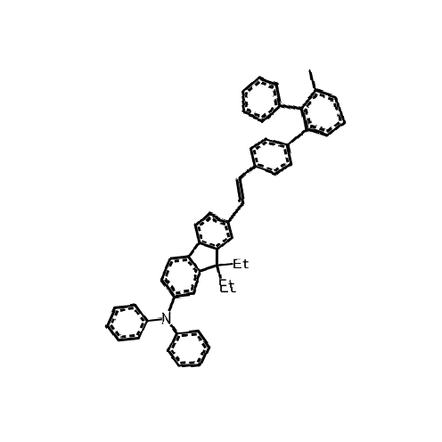 CCC1(CC)c2cc(/C=C/c3ccc(-c4cccc(C)c4-c4ccccc4)cc3)ccc2-c2ccc(N(c3ccccc3)c3ccccc3)cc21